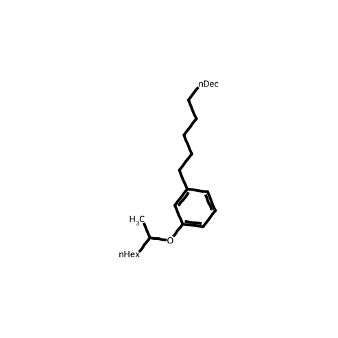 CCCCCCCCCCCCCCCc1cccc(OC(C)CCCCCC)c1